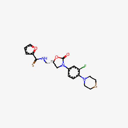 O=C1O[C@@H](CNC(=S)c2[c]cco2)CN1c1ccc(N2CCSCC2)c(F)c1